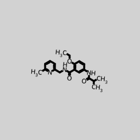 CCOc1ccc(NC(=O)C(C)C)cc1C(=O)NCc1cccc(C)n1